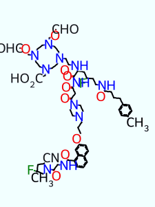 Cc1ccc(CCCC(=O)NCCC(F)C[C@H](NC(=O)CN2CCN(COC=O)CCN(COC=O)CCN(CC(=O)O)CC2)C(=O)NC(=O)CC(=O)N2CCN(CCCOc3ccc4cccc(C(=O)NCC(=O)N5CC(C)(F)C[C@@H]5C#N)c4c3)CC2)cc1